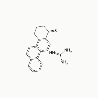 N=C(N)N.S=C1CCCc2c1ccc1c2ccc2ccccc21